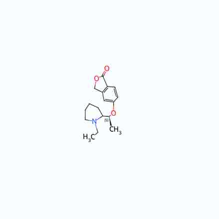 CCN1CCCCC1[C@H](C)Oc1ccc2c(c1)COC2=O